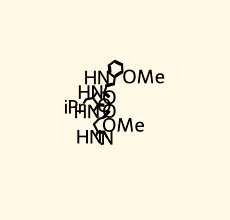 COC(=O)C(Cc1cnc[nH]1)NC(=O)C(CC(C)C)NC(=O)c1cc2c(OC)cccc2[nH]1